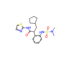 CN(C)S(=O)(=O)Nc1ccccc1C(CC1CCCC1)C(=O)Nc1nccs1